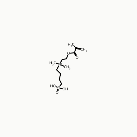 C=C(C)C(=O)OCC[N+](C)(C)CCCCP(=O)(O)O